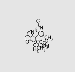 Cc1cc2nc(C3CCC3)ccc2c(-c2ccc3c4c(ccnc24)CCO3)c1[C@H](OC(C)(C)C)C(=O)O